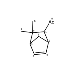 CC(=O)C1C2C=CC(C2)C1(C)C